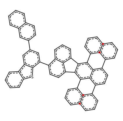 c1ccc(-c2ccc(-c3ccccc3)c3c(-c4ccccc4)c4c(c(-c5ccccc5)c23)-c2cccc3c(-c5cc(-c6ccc7ccccc7c6)cc6c5sc5ccccc56)ccc-4c23)cc1